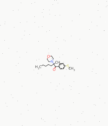 CCCCCC(C)(C(=O)c1ccc(SC)cc1)N1CCOCC1